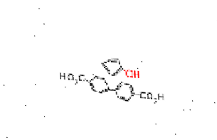 O=C(O)c1ccc(-c2ccc(C(=O)O)cc2)cc1.Oc1ccccc1